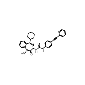 CCCN1C(=O)C(NC(=O)Nc2ccc(C#Cc3ccccn3)cc2)N=C(C2CCCCC2)c2ccccc21